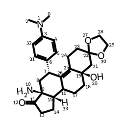 CN(C)c1ccc([C@H]2C[C@@]3(N)C(=O)CC[C@H]3C3CC[C@@]4(O)CC5(CCC4=C32)OCCO5)cc1